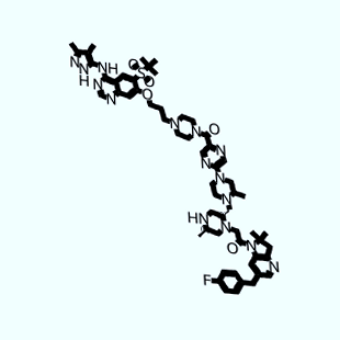 Cc1n[nH]c(Nc2ncnc3cc(OCCCN4CCN(C(=O)c5cnc(N6CCN(C[C@H]7CN[C@H](C)CN7CC(=O)N7c8cc(Cc9ccc(F)cc9)cnc8CC7(C)C)C(C)C6)cn5)CC4)c(S(=O)(=O)C(C)(C)C)cc23)c1C